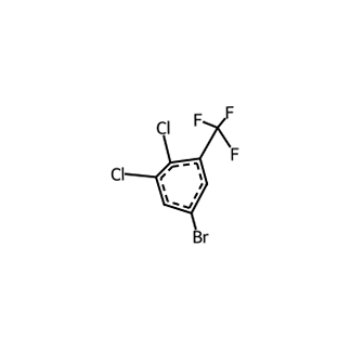 FC(F)(F)c1cc(Br)cc(Cl)c1Cl